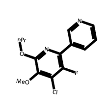 CCCOc1nc(-c2cccnc2)c(F)c(Cl)c1OC